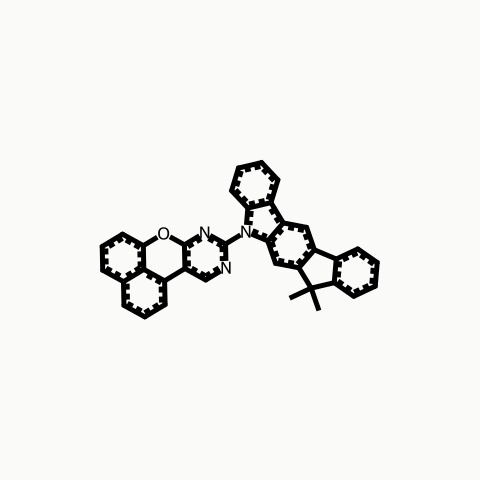 CC1(C)c2ccccc2-c2cc3c4ccccc4n(-c4ncc5c(n4)Oc4cccc6cccc-5c46)c3cc21